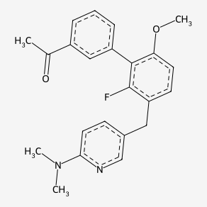 COc1ccc(Cc2ccc(N(C)C)nc2)c(F)c1-c1cccc(C(C)=O)c1